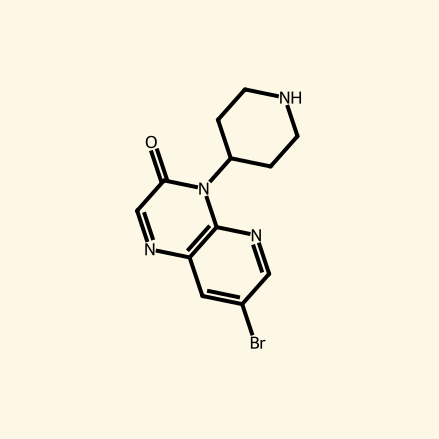 O=c1cnc2cc(Br)cnc2n1C1CCNCC1